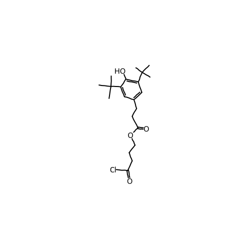 CC(C)(C)c1cc(CCC(=O)OCCCC(=O)Cl)cc(C(C)(C)C)c1O